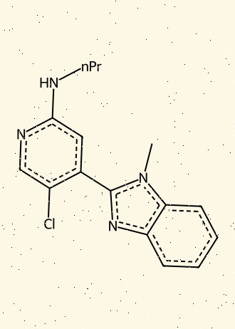 CCCNc1cc(-c2nc3ccccc3n2C)c(Cl)cn1